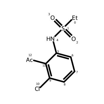 CCS(=O)(=O)Nc1cccc(Cl)c1C(C)=O